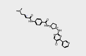 CN(C)C/C=C/C(=O)Nc1ccc(C(=O)N[C@H]2CC[C@@H](Nc3ncc(Cl)c(-c4cccnc4)n3)C2)cc1